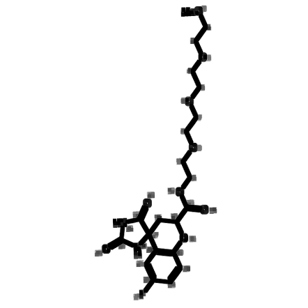 COCCOCCOCCOCCOC(=O)C1CC2(NC(=O)NC2=O)c2cc(F)ccc2O1